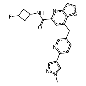 Cn1cc(-c2ccc(Cc3cc(C(=O)NC4CC(F)C4)nc4ccsc34)cn2)cn1